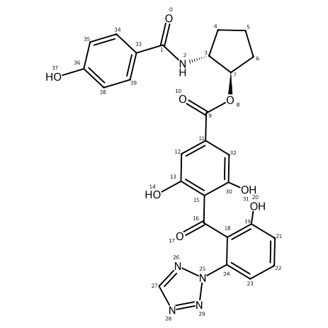 O=C(N[C@@H]1CCC[C@H]1OC(=O)c1cc(O)c(C(=O)c2c(O)cccc2-n2ncnn2)c(O)c1)c1ccc(O)cc1